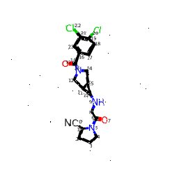 N#CC1CCCN1C(=O)CNC1C2CN(C(=O)c3ccc(Cl)c(Cl)c3)CC21